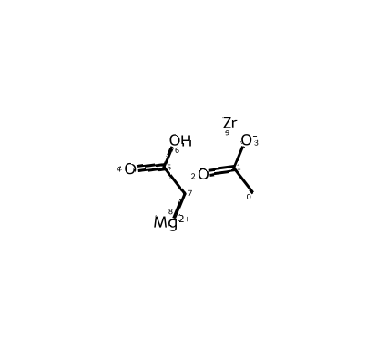 CC(=O)[O-].O=C(O)[CH2][Mg+2].[Zr]